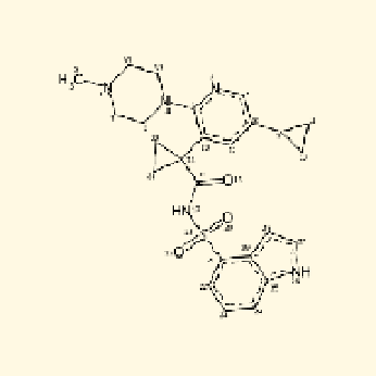 CN1CCN(c2ncc(C3CC3)cc2C2(C(=O)NS(=O)(=O)c3cccc4[nH]ccc34)CC2)CC1